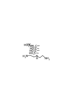 CC(=O)O.CC(=O)O.CC(=O)O.CC(=O)O.CC(=O)O.NCCNCCN.[Yb]